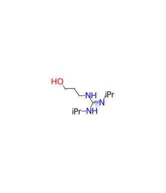 CC(C)/N=C(\NCCCO)NC(C)C